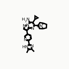 Cc1nc(-c2ccc(-c3cnn4c(N)c(C5CC5)c(C5CC6CCC(C5)N6)nc34)cn2)[nH]c1C